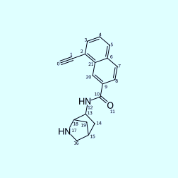 C#Cc1cccc2ccc(C(=O)NC3CC4CNC3C4)cc12